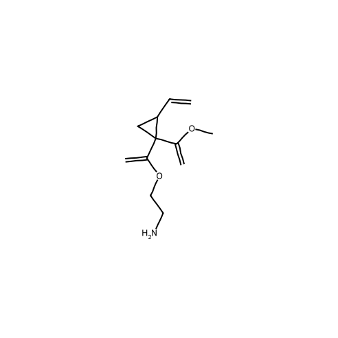 C=CC1CC1(C(=C)OC)C(=C)OCCN